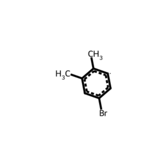 Cc1[c]cc(Br)cc1C